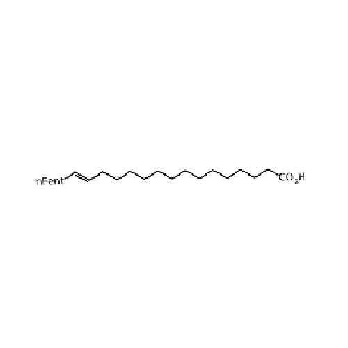 CCCCCC=CCCCCCCCCCCCCCC(=O)O